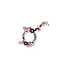 COc1cc(/C=C/C(=O)OCCO[N+](=O)[O-])c2cc1OC(=O)CCC/C=C\C[C@@H]1[C@@H](CCC(=O)CCCCCC2)[C@H](O)C[C@@H]1O